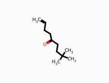 C=CCCC(=O)CCC(C)(C)C